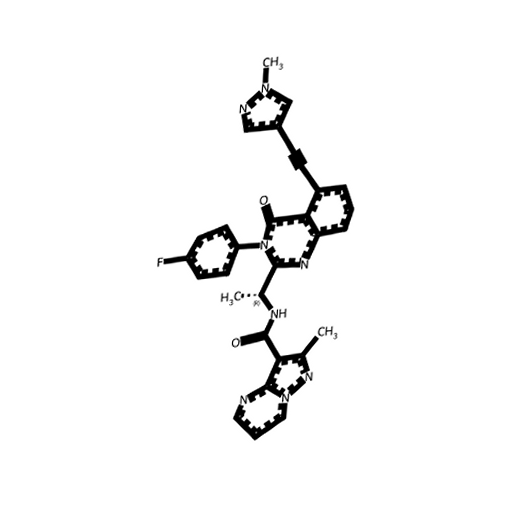 Cc1nn2cccnc2c1C(=O)N[C@H](C)c1nc2cccc(C#Cc3cnn(C)c3)c2c(=O)n1-c1ccc(F)cc1